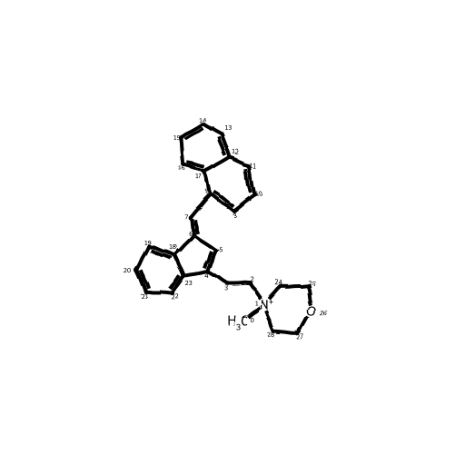 C[N+]1(CCC2=CC(=Cc3cccc4ccccc34)c3ccccc32)CCOCC1